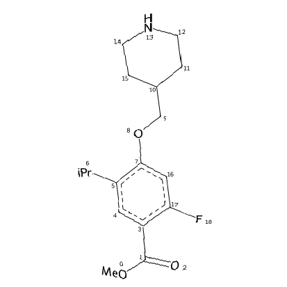 COC(=O)c1cc(C(C)C)c(OCC2CCNCC2)cc1F